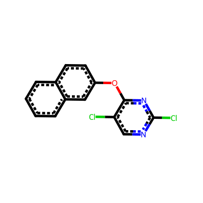 Clc1ncc(Cl)c(Oc2ccc3ccccc3c2)n1